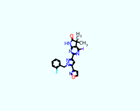 CC1(C)C(=O)Nc2nc(-c3cc(-c4ccon4)n(Cc4ccccc4F)n3)nc(I)c21